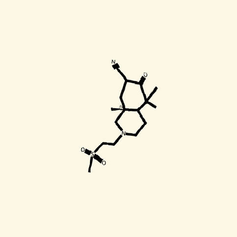 CC1(C)C(=O)C(C#N)C[C@@]2(C)CN(CCS(C)(=O)=O)CCC12